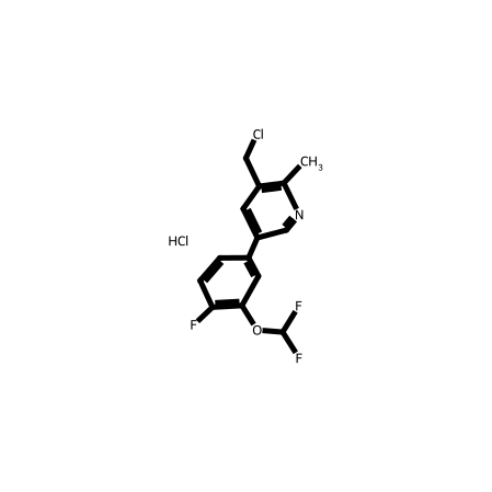 Cc1ncc(-c2ccc(F)c(OC(F)F)c2)cc1CCl.Cl